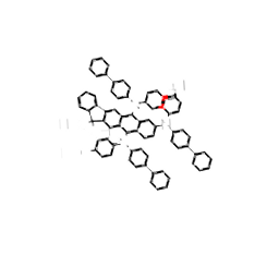 Cc1ccc(N(c2ccc(-c3ccccc3)cc2)c2ccc3c(N(c4ccc(C)cc4)c4ccc(-c5ccccc5)cc4)c4cc5c(cc4c(N(c4ccc(C)cc4)c4ccc(-c6ccccc6)cc4)c3c2)-c2ccccc2C5(C)C)cc1